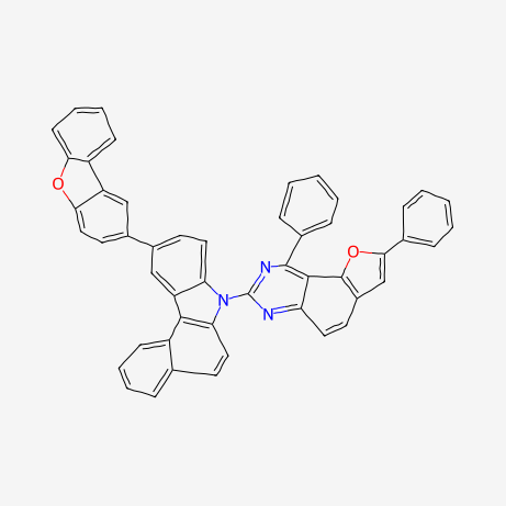 c1ccc(-c2cc3ccc4nc(-n5c6ccc(-c7ccc8oc9ccccc9c8c7)cc6c6c7ccccc7ccc65)nc(-c5ccccc5)c4c3o2)cc1